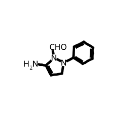 NC1=CCN(c2ccccc2)N1C=O